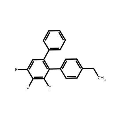 CCc1ccc(-c2c(-c3ccccc3)cc(F)c(F)c2F)cc1